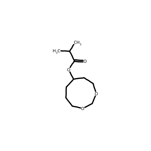 CC(C)C(=O)OC1CCCOCOCC1